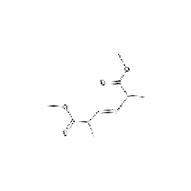 COC(=O)C(C)C=CC(C)C(=O)OC